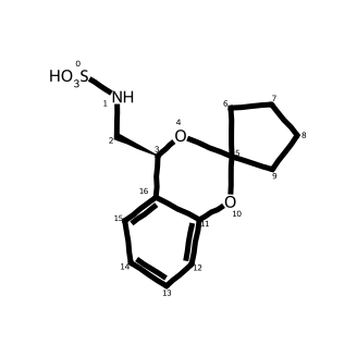 O=S(=O)(O)NC[C@H]1OC2(CCCC2)Oc2ccccc21